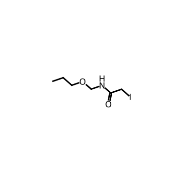 CCCOCNC(=O)CI